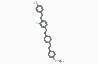 CCCCCCCc1ccc(CCC2CCC(CCc3ccc(CCc4ccc(Cl)cc4)c(F)c3)CC2)cc1